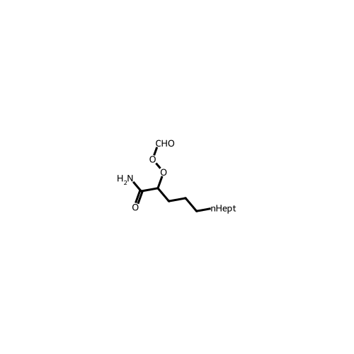 CCCCCCCCCCC(OOC=O)C(N)=O